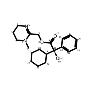 CN1CCCN=C1COC(=O)[C@](O)(c1ccccc1)C1CCCCC1